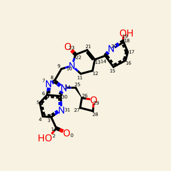 O=C(O)c1ccc2nc(CN3CCC(c4cccc(O)n4)=CC3=O)n(C[C@@H]3CCO3)c2n1